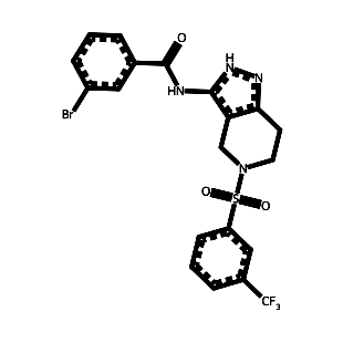 O=C(Nc1[nH]nc2c1CN(S(=O)(=O)c1cccc(C(F)(F)F)c1)CC2)c1cccc(Br)c1